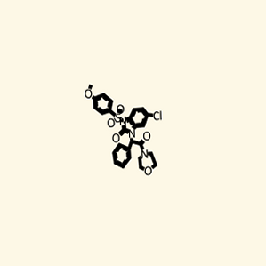 COc1ccc(S(=O)(=O)n2c(=O)n(C(C(=O)N3CCOCC3)c3ccccc3)c3cc(Cl)ccc32)cc1